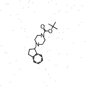 CC(C)(C)OC(=O)N1CCN(C2CCc3ccccc32)CC1